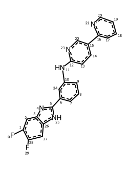 Fc1cc2nc(-c3cccc(Nc4ccc(-c5ccccn5)cn4)c3)[nH]c2cc1F